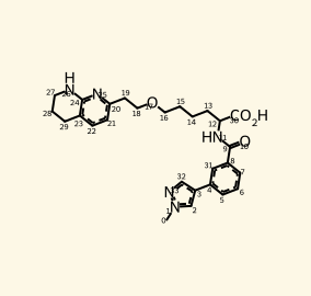 Cn1cc(-c2cccc(C(=O)NC(CCCCOCCc3ccc4c(n3)NCCC4)C(=O)O)c2)cn1